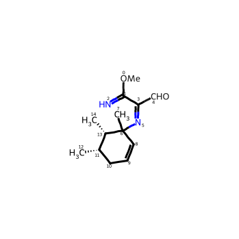 COC(=N)/C(C=O)=N\C1(C)C=CC[C@H](C)[C@@H]1C